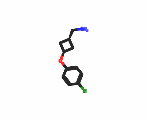 NC[C@H]1C[C@@H](Oc2ccc(Cl)cc2)C1